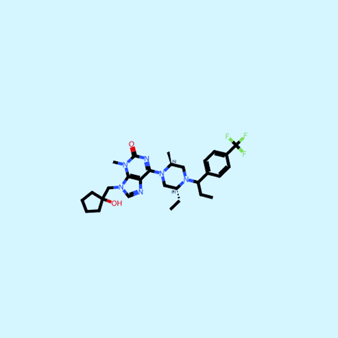 CCC(c1ccc(C(F)(F)F)cc1)N1C[C@H](C)N(c2nc(=O)n(C)c3c2ncn3CC2(O)CCCC2)C[C@H]1CC